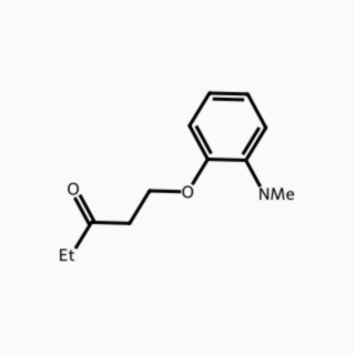 CCC(=O)CCOc1ccccc1NC